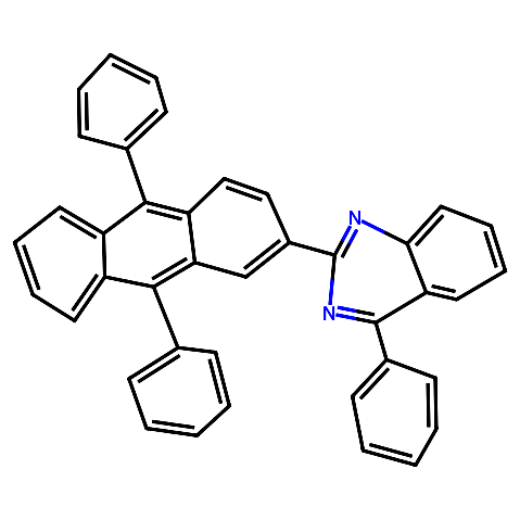 c1ccc(-c2nc(-c3ccc4c(-c5ccccc5)c5ccccc5c(-c5ccccc5)c4c3)nc3ccccc23)cc1